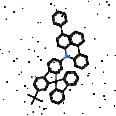 CC(C)(C)c1ccc2c(c1)C1(c3ccccc3-c3ccccc31)c1cc(N(c3ccc(-c4ccccc4)cc3)c3ccccc3-c3ccccc3)ccc1-2